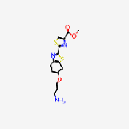 COC(=O)C1CSC(c2nc3ccc(OCCCN)cc3s2)=N1